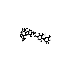 OC1(c2cccc(C(F)(F)F)c2)CCN(CCc2ccc(-c3cccc(Cl)c3)c(Cl)c2)CC1